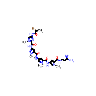 C=C(Br)C(=O)Nc1cn(C)c(C(=O)Nc2cc(C(=O)Nc3cc(C(=O)Nc4cc(C(=O)NCCC(=N)N)n(C)c4)n(C)c3)n(C)n2)n1